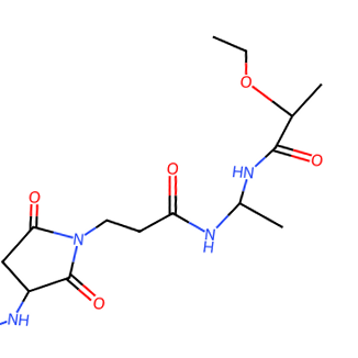 CCOC(C)C(=O)NC(C)NC(=O)CCN1C(=O)CC(NC)C1=O